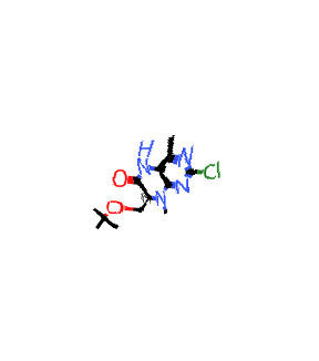 Cc1nc(Cl)nc2c1NC(=O)[C@H](COC(C)(C)C)N2C